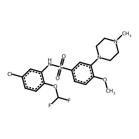 COc1ccc(S(=O)(=O)Nc2cc(Cl)ccc2OC(F)F)cc1N1CCN(C)CC1